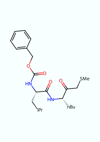 CCCC[C@H](NC(=O)[C@H](CC(C)C)NC(=O)OCc1ccccc1)C(=O)CSC